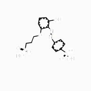 O=S(=O)(O)CCCOc1cccc(O)c1/N=N/c1ccc(S(=O)(=O)O)cc1